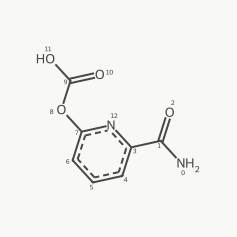 NC(=O)c1cccc(OC(=O)O)n1